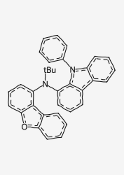 CC(C)(C)N(c1cccc2oc3ccccc3c12)c1cccc2c3ccccc3n(-c3ccccc3)c12